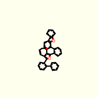 c1cc2c(oc3ccccc32)c(-c2ccccc2-c2oc(-c3ccccc3-c3ccccc3)c3c2CCC=C3)c#1